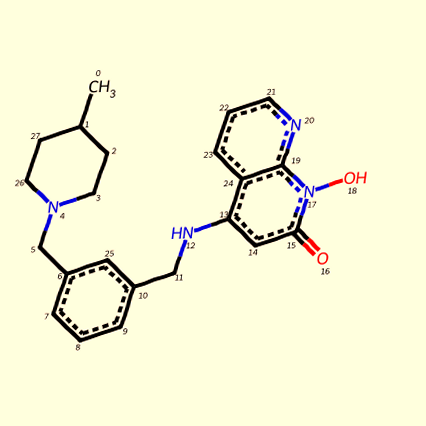 CC1CCN(Cc2cccc(CNc3cc(=O)n(O)c4ncccc34)c2)CC1